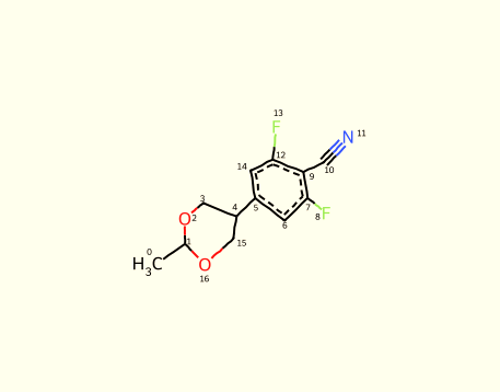 CC1OCC(c2cc(F)c(C#N)c(F)c2)CO1